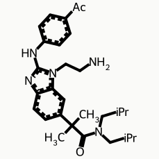 CC(=O)c1ccc(Nc2nc3ccc(C(C)(C)C(=O)N(CC(C)C)CC(C)C)cc3n2CCN)cc1